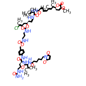 COC1=CC[C@@H]([C@@H](C)/C=C(C)/C=C\C=C/C(=O)N[C@H](C(=O)N/C=C\C[C@H](C/C=C(\C)Cl)OC(=O)NCCCNC(=O)OCc2ccc(NC(=O)[C@H](CCCNC(N)=O)NC(=O)[C@@H](NC(=O)CCCCCN3C(=O)C=CC3=O)C(C)C)cc2)C(C)(C)C)OC1=O